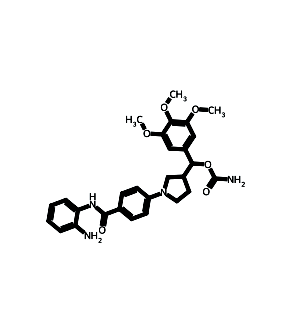 COc1cc(C(OC(N)=O)C2CCN(c3ccc(C(=O)Nc4ccccc4N)cc3)C2)cc(OC)c1OC